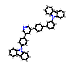 c1cc(-c2ccc(-c3cncc(-c4ccc(-n5c6ccccc6c6ccccc65)cc4)c3)cc2)cc(-n2c3ccccc3c3ccccc32)c1